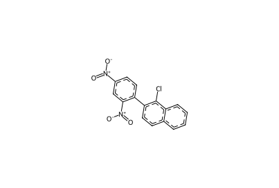 O=[N+]([O-])c1ccc(-c2ccc3ccccc3c2Cl)c([N+](=O)[O-])c1